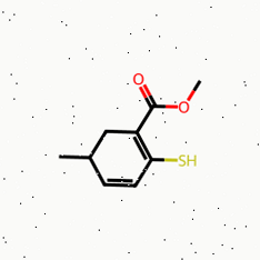 COC(=O)C1=C(S)C=CC(C)C1